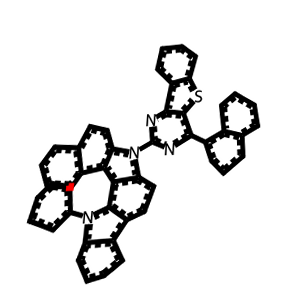 c1ccc(-n2c3ccccc3c3ccc4c(c5c6ccccc6ccc5n4-c4nc(-c5cccc6ccccc56)c5sc6ccccc6c5n4)c32)cc1